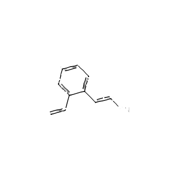 C=Cc1ccccc1C=CC#N